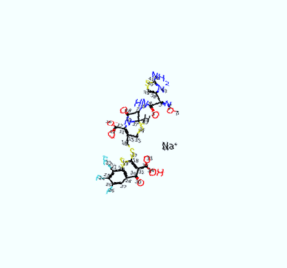 CO/N=C(\C(=O)N[C@@H]1C(=O)N2C(C(=O)[O-])=C(CSc3sc4c(F)c(F)c(F)cc4c(=O)c3C(=O)O)CS[C@@H]12)c1csc(N)n1.[Na+]